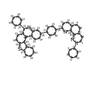 c1ccc(-c2ccc3ccc4ccc(-c5ccc(-c6ccc7c(c6)nc(-c6ccccc6)c6ccc8sc9ccccc9c8c67)cc5)nc4c3n2)cc1